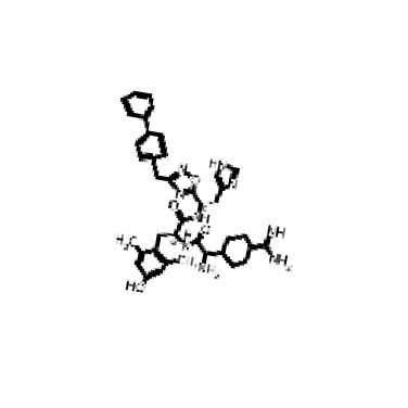 Cc1cc(O)cc(C)c1C[C@H](NC(=O)C(N)C1CCC(C(=N)N)CC1)C(=O)N[C@@H](Cc1c[nH]cn1)c1nc(Cc2ccc(-c3ccccc3)cc2)no1